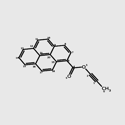 CC#COC(=O)c1ccc2ccc3cccc4ccc1c2c34